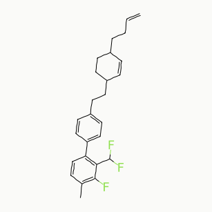 C=CCCC1C=CC(CCc2ccc(-c3ccc(C)c(F)c3C(F)F)cc2)CC1